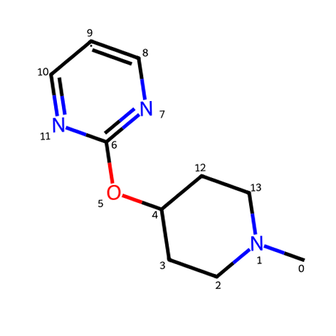 CN1CCC(Oc2nc[c]cn2)CC1